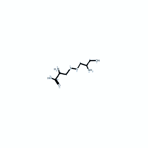 NC(CO)CSSCC(N)C(=O)O